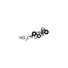 O=C(O)COc1cccc2c1OC1CCC(NS(=O)(=O)c3ccccc3Cl)C21